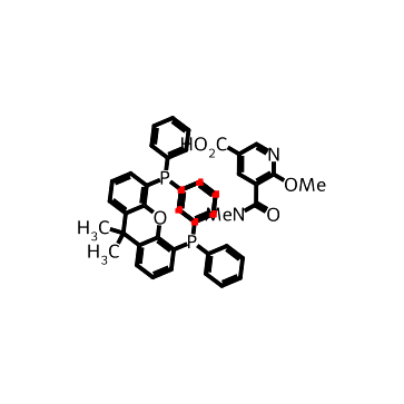 CC1(C)c2cccc(P(c3ccccc3)c3ccccc3)c2Oc2c(P(c3ccccc3)c3ccccc3)cccc21.CNC(=O)c1cc(C(=O)O)cnc1OC